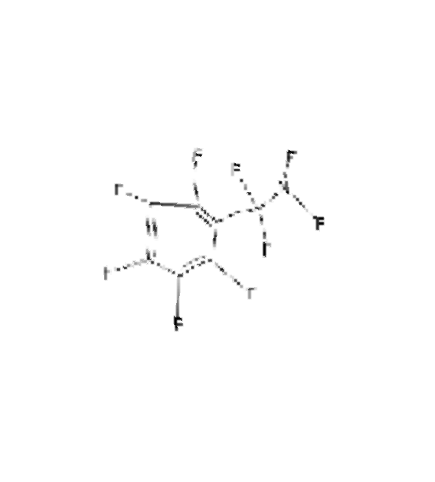 Fc1c(F)c(F)c(C(F)(F)N(F)F)c(F)c1F